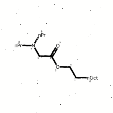 CCCCCCCCCCOC(=O)CN(CCC)CCC